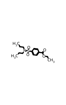 CCCN(CCC)S(=O)(=O)c1ccc(C(=O)OCC)cc1